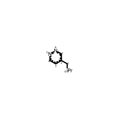 CC(C)Cc1[c]cnnc1